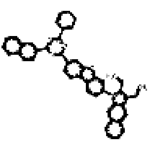 C=Cc1c(C=C)n(-c2ccc3c(c2)oc2cc(-c4nc(C5=CCCC=C5)nc(-c5ccc6ccccc6c5)n4)ccc23)c2cc3ccccc3cc12